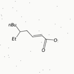 CCCCC(CC)CC=CC([O])=O